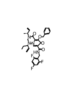 C=CC(CC)N1CN([C@@H](C)C=C)C(=O)c2c(OCc3ccccc3)c(=O)c(C(=O)NCc3c(F)cc(F)cc3F)cn21